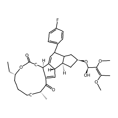 CC[C@H]1CCCC[C@@H](C)C(=O)C2=C[C@@H]3C(=CC(c4ccc(F)cc4)C4C[C@@H](O[C@H](O)/C(OC)=C(/C)OC)C[C@H]43)[C@@H]2CC(=O)O1